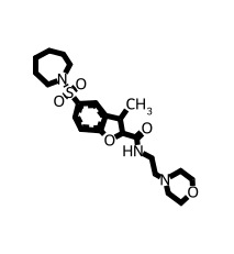 CC1c2cc(S(=O)(=O)N3CCCCCC3)ccc2OC1C(=O)NCCN1CCOCC1